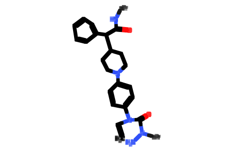 C=CN(C(=O)N(N)CCC)c1ccc(N2CCC(C(C(=O)NCCC)c3ccccc3)CC2)cc1